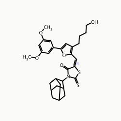 COc1cc(OC)cc(-c2cc(CCCCO)c(/C=C3/SC(=S)N(C4C5CC6CC(C5)CC4C6)C3=O)o2)c1